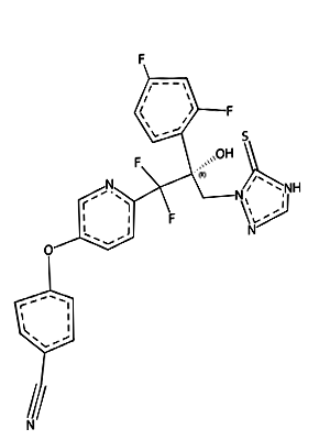 N#Cc1ccc(Oc2ccc(C(F)(F)[C@](O)(Cn3nc[nH]c3=S)c3ccc(F)cc3F)nc2)cc1